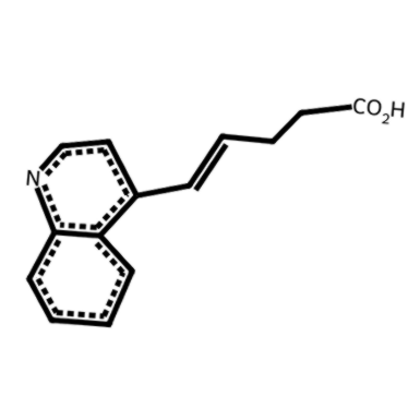 O=C(O)CCC=Cc1ccnc2ccccc12